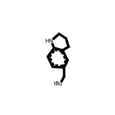 CC(C)(C)Cc1ccc2c(c1)[C]CCN2